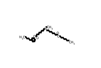 CCCCCCCCOC(=O)CCCCCCCN(CC)CCCCCCCC(=O)Oc1cccc(CCCCC)c1